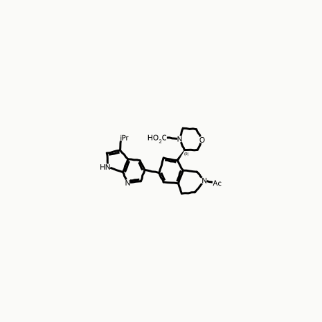 CC(=O)N1CCc2cc(-c3cnc4[nH]cc(C(C)C)c4c3)cc([C@@H]3COCCN3C(=O)O)c2C1